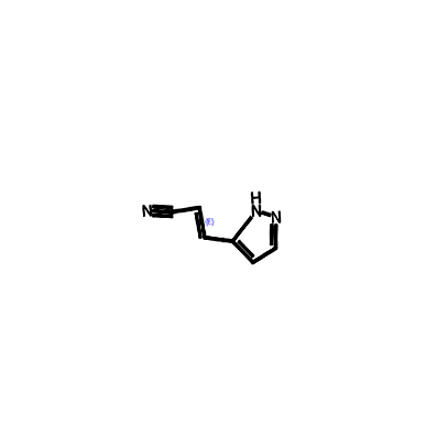 N#C/C=C/c1ccn[nH]1